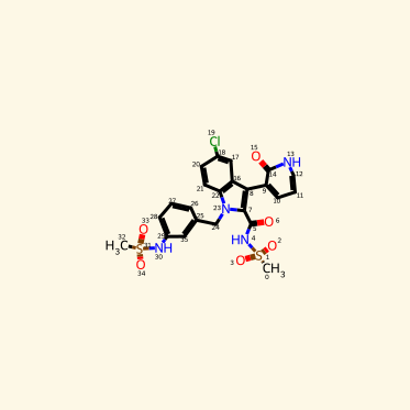 CS(=O)(=O)NC(=O)c1c(-c2ccc[nH]c2=O)c2cc(Cl)ccc2n1Cc1cccc(NS(C)(=O)=O)c1